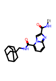 CCNC(=O)c1cn2c(C(=O)NCC34CC5CC(CC(C5)C3)C4)cccc2n1